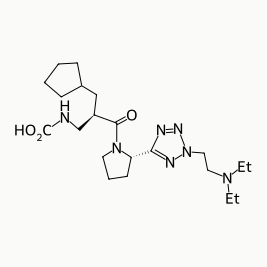 CCN(CC)CCn1nnc([C@@H]2CCCN2C(=O)[C@@H](CNC(=O)O)CC2CCCC2)n1